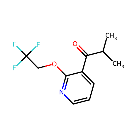 CC(C)C(=O)c1cccnc1OCC(F)(F)F